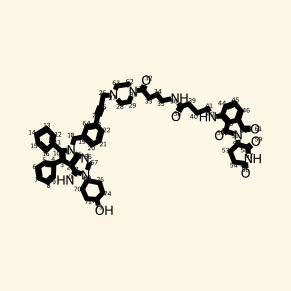 N=c1c2c(-c3ccccc3)c(-c3ccccc3)n(Cc3cccc(C#CCN4CCN(C(=O)CCCNC(=O)CCCNc5cccc6c5C(=O)N(C5CCC(=O)NC5=O)C6=O)CC4)c3)c2ncn1C1CCC(O)CC1